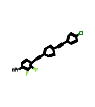 CCCc1ccc(C#Cc2ccc(C#Cc3ccc(Cl)cc3)cc2)c(F)c1F